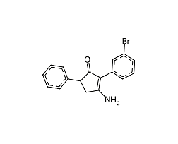 NC1=C(c2cccc(Br)c2)C(=O)C(c2ccccc2)C1